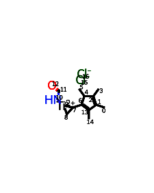 CC1=C(C)C(C)C([CH]2[CH2][Ti+2]2[NH]C=O)=C1C.[Cl-].[Cl-]